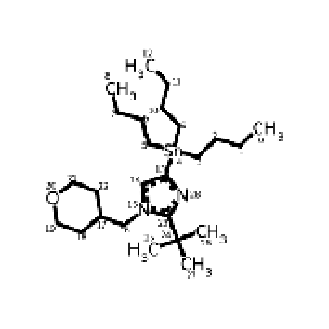 CCC[CH2][Sn]([CH2]CCC)([CH2]CCC)[c]1cn(CC2CCOCC2)c(C(C)(C)C)n1